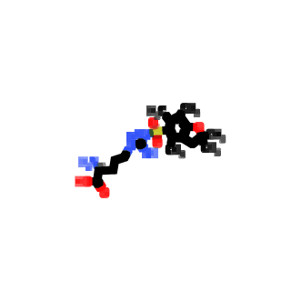 Cc1c(C)c(S(=O)(=O)NC(=N)NCCC[C@@H](N)C(=O)O)c(C)c2c1OC(C)(C)C2